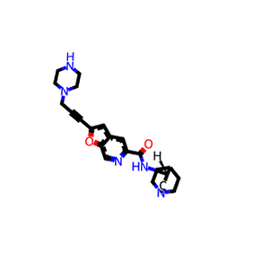 O=C(N[C@H]1CN2CCC1CC2)c1cc2cc(C#CCN3CCNCC3)oc2cn1